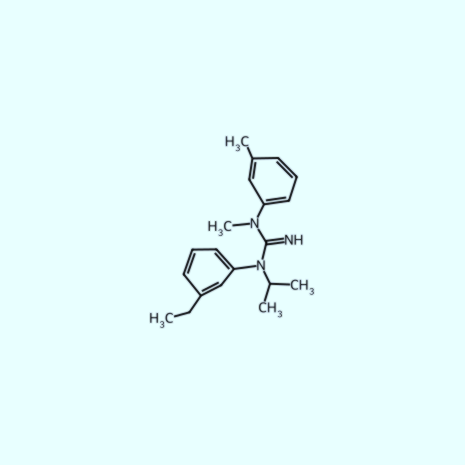 CCc1cccc(N(C(=N)N(C)c2cccc(C)c2)C(C)C)c1